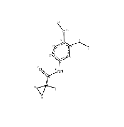 CCc1cc(NC(=O)C2(C)CC2)ccc1OC